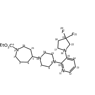 CCOC(=O)N1CCCC(N2CCN(c3ncccc3N3CCC(F)(F)C3)CC2)CC1